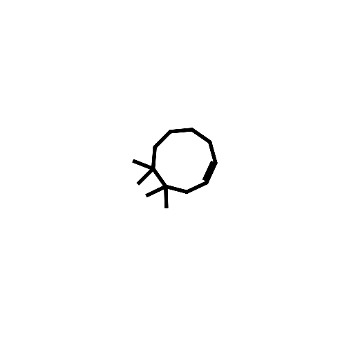 CC1(C)CC=CCCCCC1(C)C